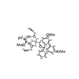 C#CCOCC(COCC#C)(COP(OC)N(C(C)C)C(C)C)COC(c1ccccc1)(c1ccc(OC)cc1)c1ccc(OC)cc1